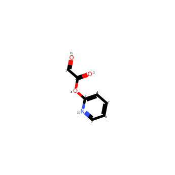 O=CC(=O)Oc1ccccn1